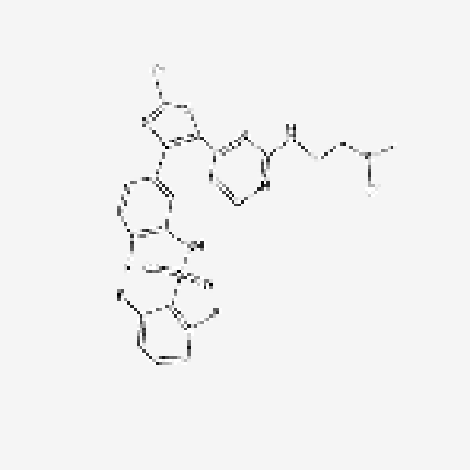 CC(C)c1nc(-c2ccc(F)c(NS(=O)(=O)c3c(F)cccc3F)c2)c(-c2ccnc(NCC[S+](C)[O-])n2)s1